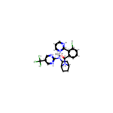 CN(c1ncc(C(F)(F)F)cn1)C1CC2CCC1N2C(=O)c1cccc(F)c1-c1ncccn1